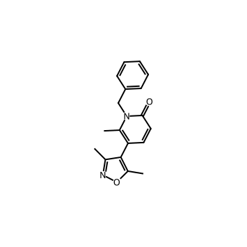 Cc1noc(C)c1-c1ccc(=O)n(Cc2ccccc2)c1C